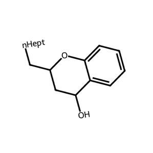 CCCCCCCCC1CC(O)c2ccccc2O1